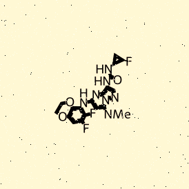 CNc1cc(Nc2c(F)c(F)cc3c2OCCO3)nc2c(NC(=O)N[C@@H]3C[C@@H]3F)cnn12